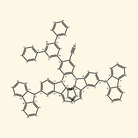 N#Cc1cc(-n2c3ccccc3c3cc(-n4c5ccccc5c5ccccc54)ccc32)c(-n2c3ccccc3c3cc(-n4c5ccccc5c5ccccc54)ccc32)cc1-c1cc(-c2ccccc2)nc(-c2ccccc2)n1